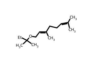 CCC(C)(C)OC/C=C(\C)CCC=C(C)C